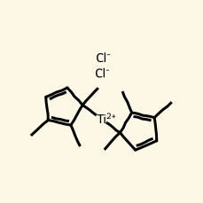 CC1=C(C)[C](C)([Ti+2][C]2(C)C=CC(C)=C2C)C=C1.[Cl-].[Cl-]